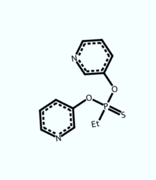 CCP(=S)(Oc1cccnc1)Oc1cccnc1